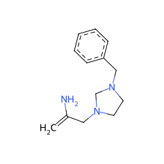 C=C(N)CN1CCN(Cc2ccccc2)C1